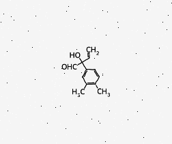 C=CC(O)(C=O)c1ccc(C)c(C)c1